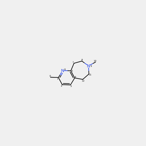 Cc1ccc2c(n1)CCN(C)CC2